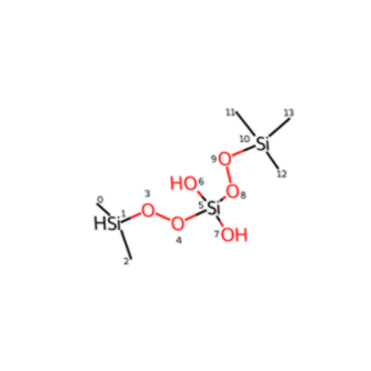 C[SiH](C)OO[Si](O)(O)OO[Si](C)(C)C